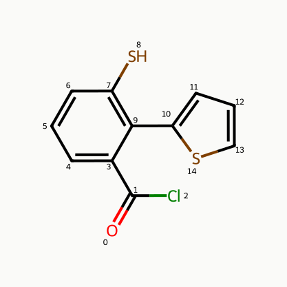 O=C(Cl)c1cccc(S)c1-c1cccs1